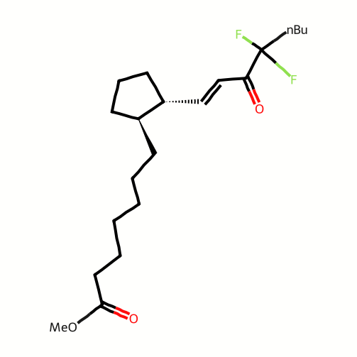 CCCCC(F)(F)C(=O)/C=C/[C@H]1CCC[C@@H]1CCCCCCC(=O)OC